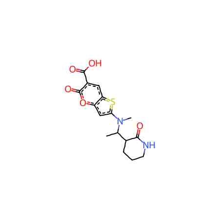 CC(C1CCCNC1=O)N(C)c1cc2oc(=O)c(C(=O)O)cc2s1